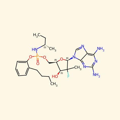 CCCCc1ccccc1OP(=O)(N[C@@H](C)CC)OC[C@H]1O[C@@H](n2cnc3c(N)nc(N)nc32)C(C)(F)[C@H]1O